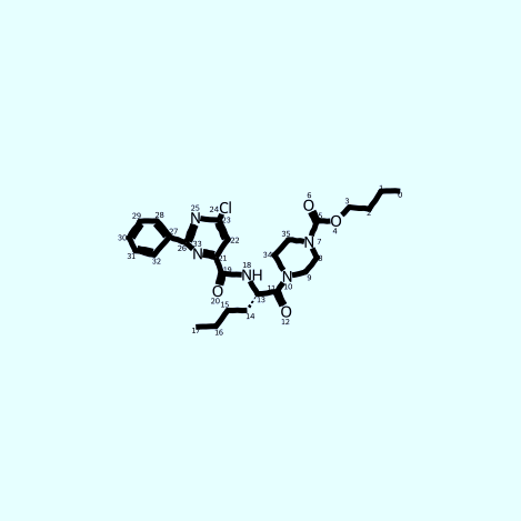 CCCCOC(=O)N1CCN(C(=O)[C@H](CCCC)NC(=O)c2cc(Cl)nc(-c3ccccc3)n2)CC1